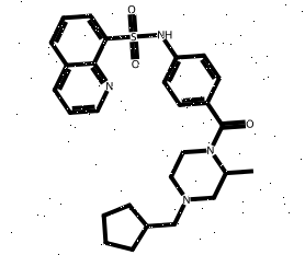 CC1CN(CC2CCCC2)CCN1C(=O)c1ccc(NS(=O)(=O)c2cccc3cccnc23)cc1